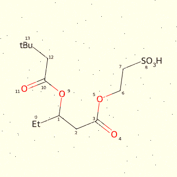 CCC(CC(=O)OCCS(=O)(=O)O)OC(=O)CC(C)(C)C